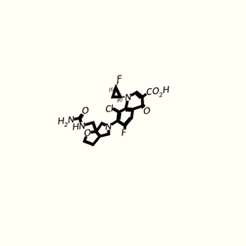 NC(=O)NCC12CN(c3c(F)cc4c(=O)c(C(=O)O)cn([C@@H]5C[C@@H]5F)c4c3Cl)CC1CCO2